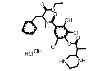 CCOC(=O)[C@H](Cc1ccccc1)NC(=O)c1cc(Cl)c(OC(=O)C(C)C2CNCCN2)c(Cl)c1O.Cl.Cl